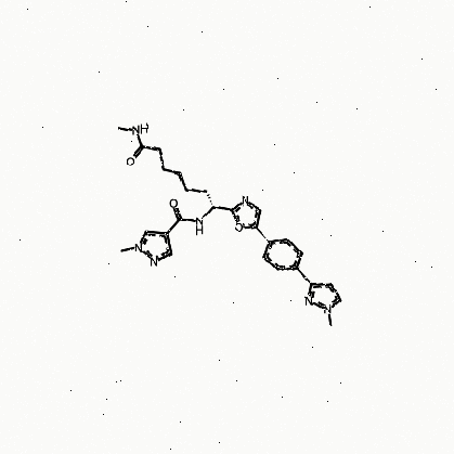 CNC(=O)CCCCC[C@@H](NC(=O)c1cnn(C)c1)c1ncc(-c2ccc(-c3ccn(C)n3)cc2)o1